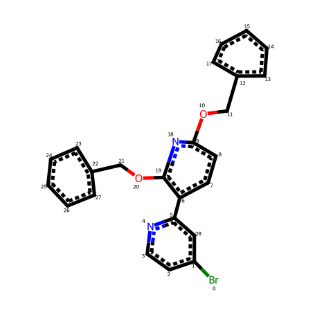 Brc1ccnc(-c2ccc(OCc3ccccc3)nc2OCc2ccccc2)c1